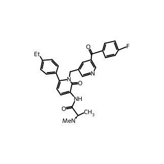 CCc1ccc(-c2ccc(NC(=O)[C@@H](C)NC)c(=O)n2Cc2cncc(C(=O)c3ccc(F)cc3)c2)cc1